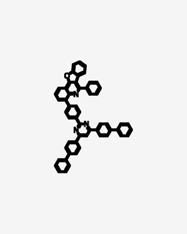 c1ccc(-c2ccc(-c3cc(-c4ccc(-c5ccccc5)cc4)nc(-c4ccc(-c5cccc6c5nc(-c5ccccc5)c5c7ccccc7oc65)cc4)n3)cc2)cc1